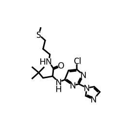 CSCCCNC(=O)C(CC(C)(C)C)Nc1cc(Cl)nc(-n2ccnc2)n1